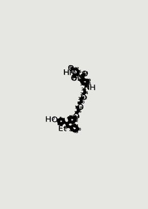 CC/C(=C(\c1ccc(O)cc1)c1ccc(OCCCOCCCOCCCNc2ccc3c(c2)CN(C2CCC(=O)NC2=O)C3=O)cc1)c1ccccc1